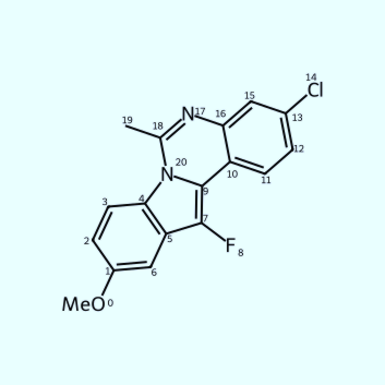 COc1ccc2c(c1)c(F)c1c3ccc(Cl)cc3nc(C)n21